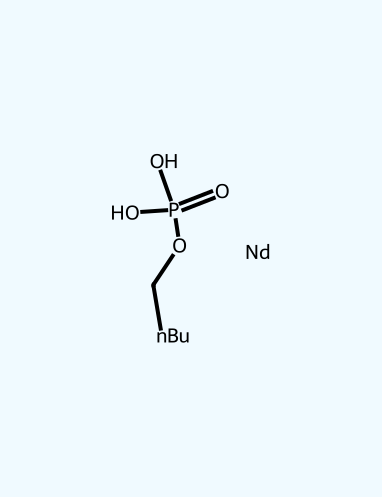 CCCCCOP(=O)(O)O.[Nd]